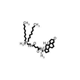 CCCCCCCCCC[N+](C)(CCCCCCCCCC)CCNC(=O)CCC(=O)OC(C)[C@H]1CCC2C3CCC4=CC(=O)CC[C@]4(C)C3CC[C@@]21C